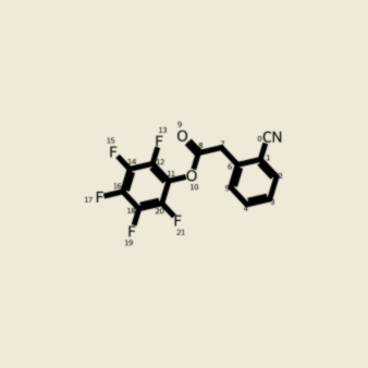 N#Cc1ccccc1CC(=O)Oc1c(F)c(F)c(F)c(F)c1F